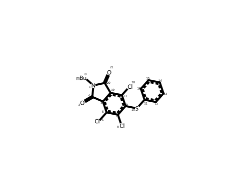 CCCCN1C(=O)c2c(Cl)c(Cl)c(Sc3ccccc3)c(Cl)c2C1=O